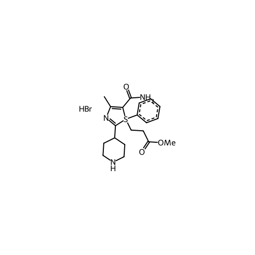 Br.COC(=O)CCS1(c2ccccc2)C(C2CCNCC2)=NC(C)=C1C(N)=O